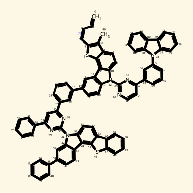 C=C/C=C\c1sc2c(ccc3c2c2cc(-c4cccc(-c5cc(-c6ccccc6)nc(-n6c7cc(-c8ccccc8)ccc7c7c8sc9ccccc9c8ccc76)n5)c4)ccc2n3-c2nccc(-c3cccc(-n4c5ccccc5c5ccccc54)c3)n2)c1C